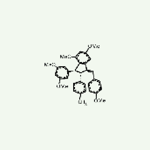 COc1ccc(/C=C2/c3cc(OC)cc(OC)c3[C@H](c3cc(OC)cc(OC)c3)[C@H]2c2ccc(C)cc2)cc1